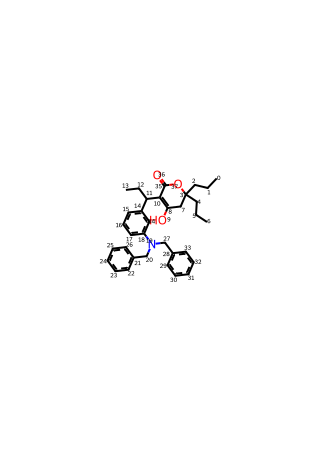 CCCC1(CCC)CC(O)=C(C(CC)c2cccc(N(Cc3ccccc3)Cc3ccccc3)c2)C(=O)O1